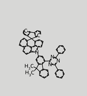 CC1(C)c2ccccc2-c2c(-c3nc(-c4ccccc4)nc(-c4ccccc4)n3)cc(-n3c4cccc5c4c4c6c(cccc6ccc43)C53c4ccccc4-c4ccccc43)cc21